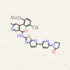 COc1ccc(C#N)cc1-c1cc(C)ncc1C(=O)Nc1nc2ccc(-c3ccc(N4CCCC4=O)nc3)nc2s1